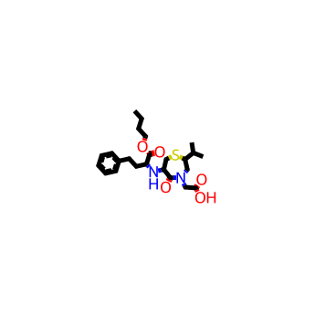 CCCCOC(=O)C(CCc1ccccc1)NC1CSC(C(C)C)CN(CC(=O)O)C1=O